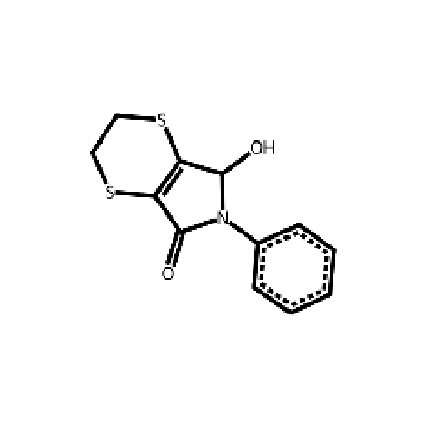 O=C1C2=C(SCCS2)C(O)N1c1ccccc1